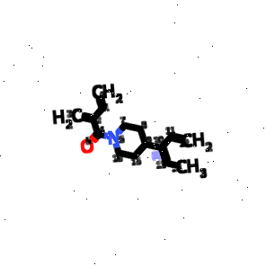 C=CC(=C)C(=O)N1CCC(/C(C=C)=C/C)CC1